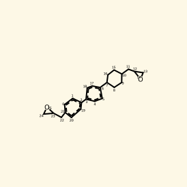 c1cc(-c2ccc(C3CCC(CC4CO4)CC3)cc2)ccc1CC1CO1